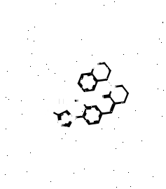 COc1cc(C=C2CCCN([C@@H]3CCOc4ccccc43)C2=O)ccc1-n1cnc(C)c1